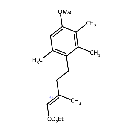 CCOC(=O)/C=C(\C)CCc1c(C)cc(OC)c(C)c1C